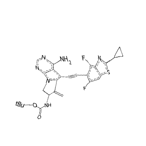 C=C1c2c(C#Cc3c(F)cc4sc(C5CC5)nc4c3F)c3c(N)ncnc3n2CC1NC(=O)OC(C)(C)C